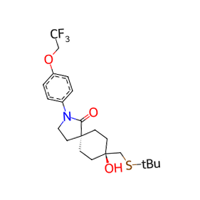 CC(C)(C)SC[C@]1(O)CC[C@@]2(CCN(c3ccc(OCC(F)(F)F)cc3)C2=O)CC1